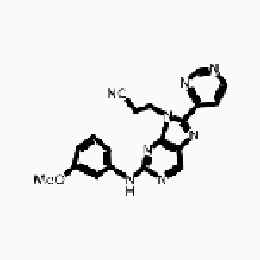 COc1cccc(Nc2ncc3nc(-c4ccncn4)n(CCC#N)c3n2)c1